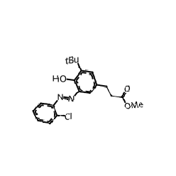 COC(=O)CCc1cc(N=Nc2ccccc2Cl)c(O)c(C(C)(C)C)c1